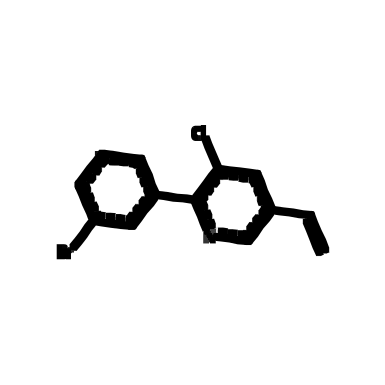 C=Cc1cnc(-c2c[c]cc(Br)c2)c(Cl)c1